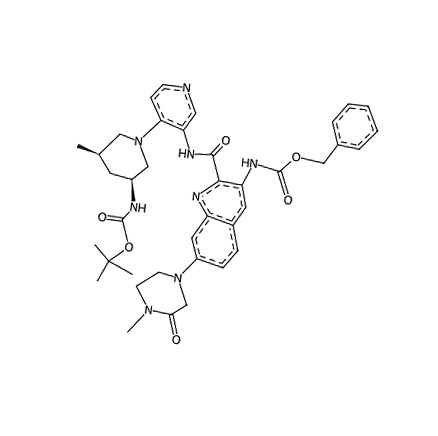 C[C@@H]1C[C@H](NC(=O)OC(C)(C)C)CN(c2ccncc2NC(=O)c2nc3cc(N4CCN(C)C(=O)C4)ccc3cc2NC(=O)OCc2ccccc2)C1